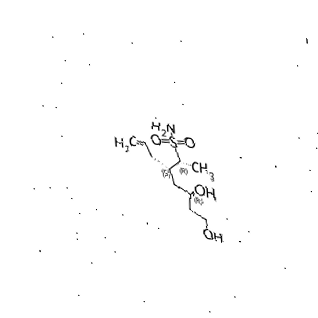 C=CC[C@@H](C[C@@H](O)CCO)[C@@H](C)S(N)(=O)=O